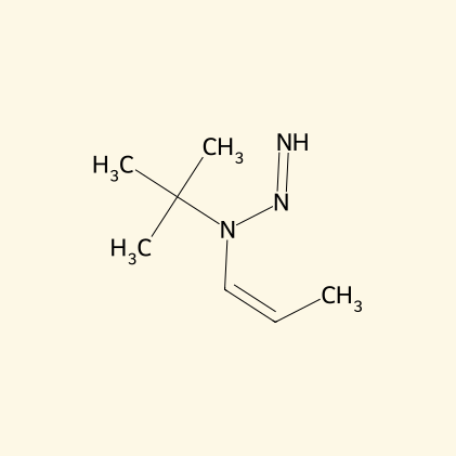 C/C=C\N(N=N)C(C)(C)C